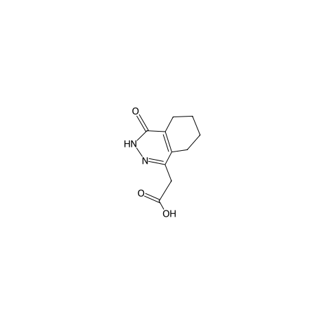 O=C(O)Cc1n[nH]c(=O)c2c1CCCC2